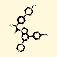 CN1CCN(c2ccc(N(C)C(=O)N3CCc4c(-c5cnc(N)nc5)nc(N5CCOCC5)nc43)cc2)CC1